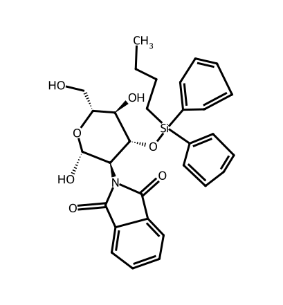 CCCC[Si](O[C@H]1[C@H](O)[C@@H](CO)O[C@@H](O)[C@@H]1N1C(=O)c2ccccc2C1=O)(c1ccccc1)c1ccccc1